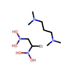 CCC(CN(O)O)N(O)O.CN(C)CCCN(C)C